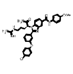 COc1ccc(NC(=O)c2ccc3c(c2)nc(-c2cccc(Oc4ccc(Cl)cc4)c2)n3[C@@H](CCCNC(=N)N)C(N)=O)cc1